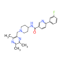 Cc1nc(C)c(CN2CCC(NC(=O)c3ccc(-c4cccc(F)c4)nc3)CC2)nc1C